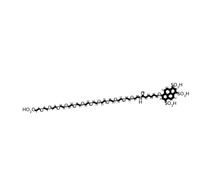 O=C(O)CCOCCOCCOCCOCCOCCOCCOCCOCCOCCOCCOCCOCCNC(=O)CCCCCOc1cc(S(=O)(=O)O)c2ccc3c(S(=O)(=O)O)cc(S(=O)(=O)O)c4ccc1c2c43